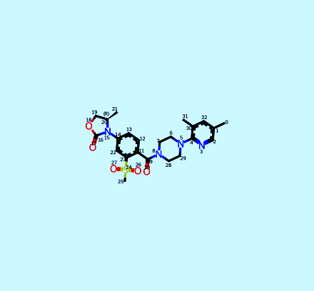 Cc1cnc(N2CCN(C(=O)c3ccc(N4C(=O)OC[C@H]4C)cc3S(C)(=O)=O)CC2)c(C)c1